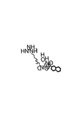 N=C(N)NCCCCSC[C@@H]1CCCN1C(=O)[C@H](CO)NS(=O)(=O)c1ccc2ccccc2c1